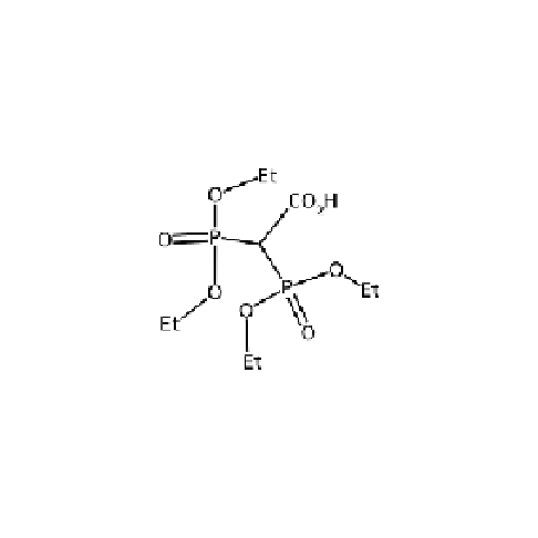 CCOP(=O)(OCC)C(C(=O)O)P(=O)(OCC)OCC